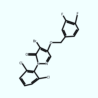 O=c1c(Br)c(OCc2ccc(F)c(F)c2)cnn1-c1c(Cl)cccc1Cl